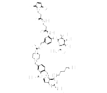 CCCCCNc1nc(N)nc2ccn(Cc3ccc(CN4CCN(C(=O)OCc5ccc(OC6O[C@@H](C(=O)O)[C@H](O)[C@@H](O)[C@@H]6O)c(NC(=O)CCNC(=O)CCN6C(=O)C=CC6=O)c5)CC4)cc3OC)c12